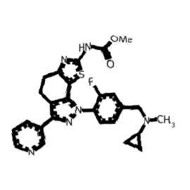 COC(=O)Nc1nc2c(s1)-c1c(c(-c3cccnc3)nn1-c1ccc(CN(C)C3CC3)cc1F)CC2